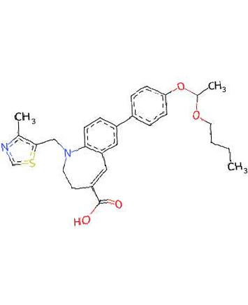 CCCCOC(C)Oc1ccc(-c2ccc3c(c2)C=C(C(=O)O)CCN3Cc2scnc2C)cc1